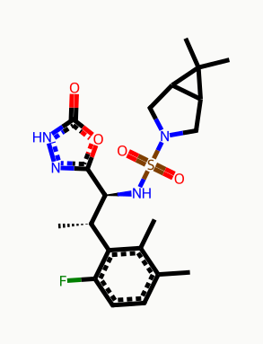 Cc1ccc(F)c([C@H](C)[C@H](NS(=O)(=O)N2CC3C(C2)C3(C)C)c2n[nH]c(=O)o2)c1C